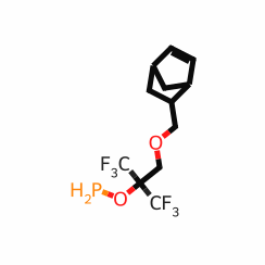 FC(F)(F)C(COCC1CC2C=CC1C2)(OP)C(F)(F)F